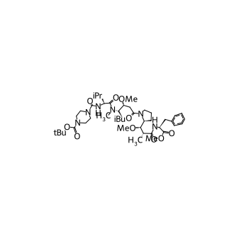 CC[C@H](C)[C@@H]([C@H](CC(=O)N1CCC[C@H]1[C@H](OC)[C@@H](C)C(=O)N[C@@H](Cc1ccccc1)C(=O)OC)OC)N(C)C(=O)[C@@H](NC(=O)N1CCN(C(=O)OC(C)(C)C)CC1)C(C)C